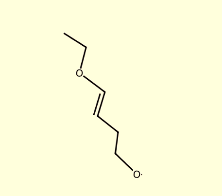 CCO/C=C/CC[O]